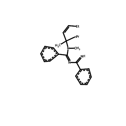 CC/C=C\C(C)(CCC)N(C)/C(=N\C(=N)c1ccccc1)c1ccccc1